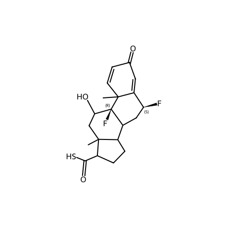 CC12CC(O)[C@@]3(F)C(C[C@H](F)C4=CC(=O)C=CC43C)C1CCC2C(=O)S